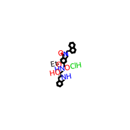 CCOc1cc2c(cc1C(=O)NCC(O)[C@@H]1Cc3ccccc3CN1)CN(Cc1cccc3ccccc13)C2=O.Cl